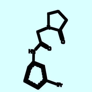 CC(C)c1cccc(NC(=O)CN2CCCC2=O)c1